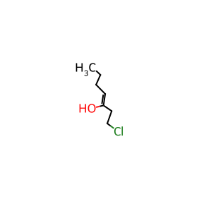 CCCC=C(O)CCCl